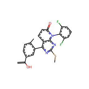 C=C(O)c1ccc(C)c(-c2nc(SC)nc3c2ccc(=O)n3-c2c(F)cccc2F)c1